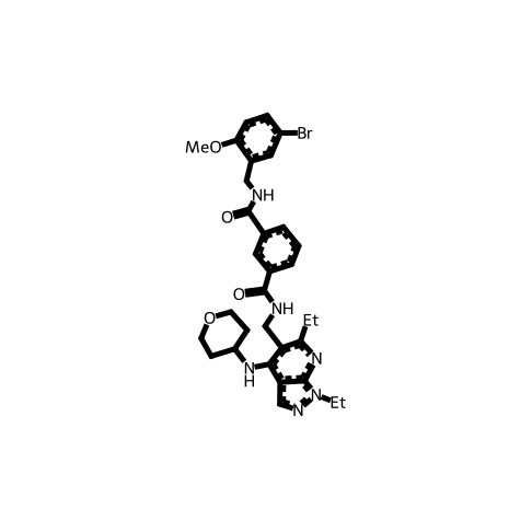 CCc1nc2c(cnn2CC)c(NC2CCOCC2)c1CNC(=O)c1cccc(C(=O)NCc2cc(Br)ccc2OC)c1